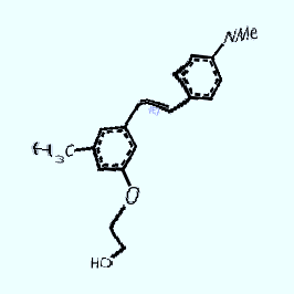 CNc1ccc(/C=C/c2cc(C)cc(OCCO)c2)cc1